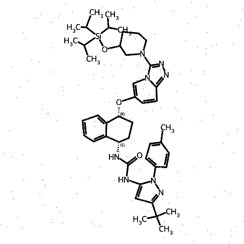 Cc1ccc(-n2nc(C(C)(C)C)cc2NC(=O)N[C@H]2CC[C@@H](Oc3ccc4nnc(N5CCCC(O[Si](C(C)C)(C(C)C)C(C)C)C5)n4c3)c3ccccc32)cc1